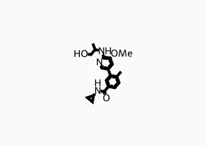 COc1cc(-c2cc(C(=O)NC3CC3)ccc2C)cnc1NC(C)CO